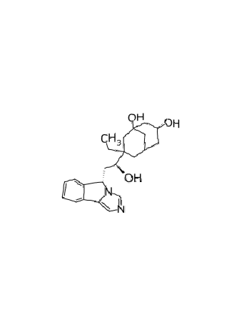 CCC1([C@@H](O)C[C@H]2c3ccccc3-c3cncn32)CC2CC(O)CC(O)(C2)C1